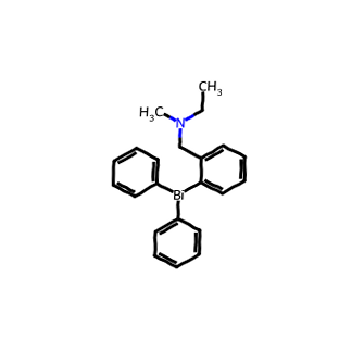 CCN(C)Cc1cccc[c]1[Bi]([c]1ccccc1)[c]1ccccc1